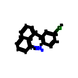 Nc1cccc2cccc(-c3cccc(Cl)c3)c12